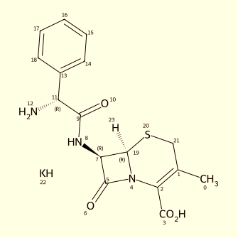 CC1=C(C(=O)O)N2C(=O)[C@@H](NC(=O)[C@H](N)c3ccccc3)[C@H]2SC1.[KH]